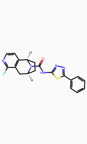 O=C(Nc1nnc(-c2ccccc2)s1)N1[C@H]2CC[C@@H]1c1ccnc(F)c1C2